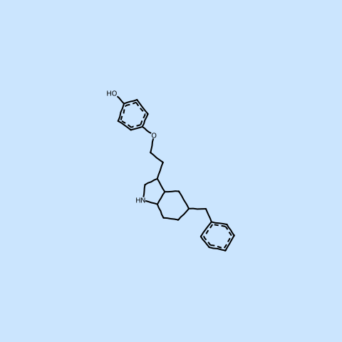 Oc1ccc(OCCC2CNC3CCC(Cc4ccccc4)CC23)cc1